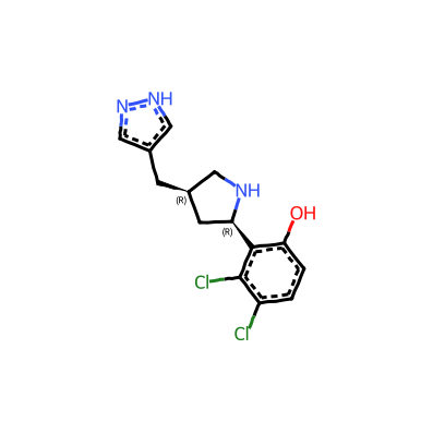 Oc1ccc(Cl)c(Cl)c1[C@H]1C[C@@H](Cc2cn[nH]c2)CN1